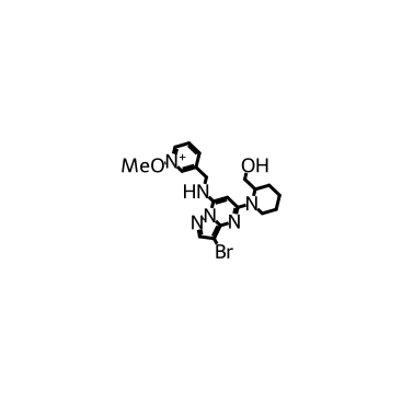 CO[n+]1cccc(CNc2cc(N3CCCCC3CO)nc3c(Br)cnn23)c1